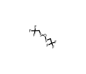 FC(F)(F)CSOSCC(F)(F)F